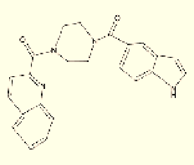 O=C(c1ccc2[nH]ccc2c1)N1CCN(C(=O)c2ccc3ccccc3n2)CC1